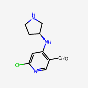 O=Cc1cnc(Cl)cc1N[C@H]1CCNC1